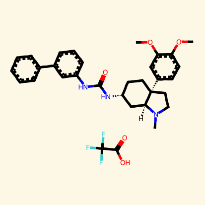 COc1ccc([C@@]23CC[C@@H](NC(=O)Nc4cccc(-c5ccccc5)c4)C[C@@H]2N(C)CC3)cc1OC.O=C(O)C(F)(F)F